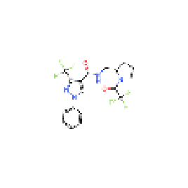 O=C(NCC1CCCN1C(=O)C(F)(F)F)c1cn(-c2ccccc2)nc1C(F)(F)F